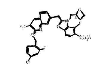 O=C(O)c1ccc2nc(Cc3ccc4cc(C(F)(F)F)c(OCc5ccc(Cl)cc5F)nc4c3)n(C[C@@H]3CCO3)c2c1F